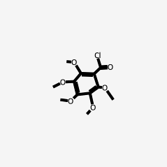 COc1c(OC)c(OC)c(C(=O)Cl)c(OC)c1OC